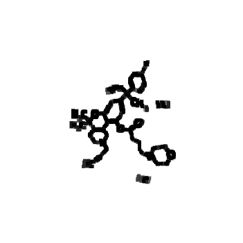 C#CCN1CCC2=C(C1)c1c(OC(=O)CCCN3CCOCC3)cc(C(C)(CCC)c3ccc(F)cc3)cc1OC2(C)C.Cl.Cl